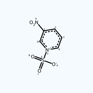 O=[N+]([O-])c1ccc[n+](S(=O)(=O)[O-])c1